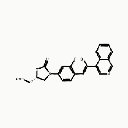 CC(=O)NC[C@H]1CN(c2ccc(/C=C(\Br)c3cncc4ccccc34)c(F)c2)C(=O)O1